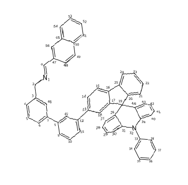 C(=N\Cc1cccc(-c2cccc(-c3ccc4c(c3)C3(c5ccccc5-4)c4ccccc4N(c4ccccc4)c4ccccc43)c2)c1)/c1ccc2ccccc2c1